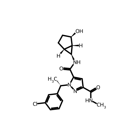 CNC(=O)c1cc(C(=O)N[C@H]2[C@@H]3CC[C@@H](O)[C@@H]32)n([C@@H](C)c2cccc(Cl)c2)n1